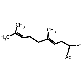 CCC(C/C=C(\C)CCC=C(C)C)C(C)=O